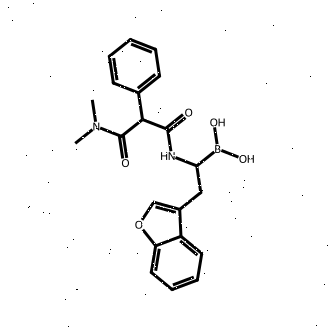 CN(C)C(=O)C(C(=O)NC(Cc1coc2ccccc12)B(O)O)c1ccccc1